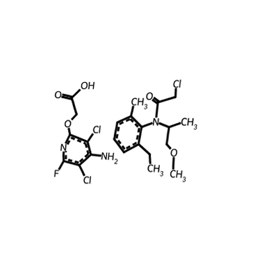 CCc1cccc(C)c1N(C(=O)CCl)C(C)COC.Nc1c(Cl)c(F)nc(OCC(=O)O)c1Cl